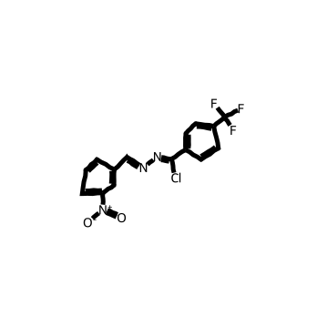 O=[N+]([O-])c1cccc([C]=NN=C(Cl)c2ccc(C(F)(F)F)cc2)c1